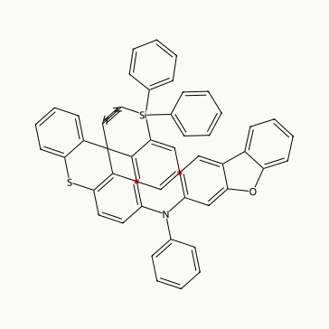 c1ccc(N(c2ccc3c(c2)C2(c4ccccc4S3)c3ccccc3[Si](c3ccccc3)(c3ccccc3)c3ccccc32)c2ccc3c(c2)oc2ccccc23)cc1